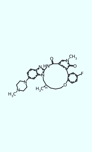 C[C@@H]1CCCOc2ccc(F)cc2-c2cc(cn(C)c2=O)C(=O)Nc2nc3ccc(N4CCN(C)CC4)cc3n2C1